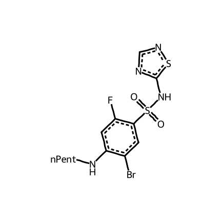 CCCCCNc1cc(F)c(S(=O)(=O)Nc2ncns2)cc1Br